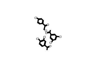 CC(=O)c1cc(Cl)cc(Cl)c1.CC(=O)c1ccc(Cl)c(Cl)c1.O=C(CCl)c1ccc(Cl)cc1